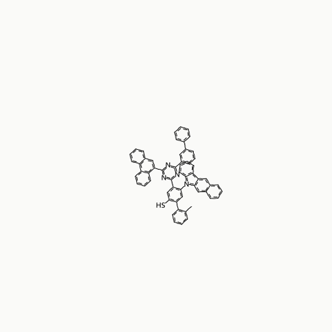 Cc1ccccc1-c1cc(-n2c3ccccc3c3cc4ccccc4cc32)c(-c2nc(-c3cccc(-c4ccccc4)c3)nc(-c3cc4ccccc4c4ccccc34)n2)cc1S